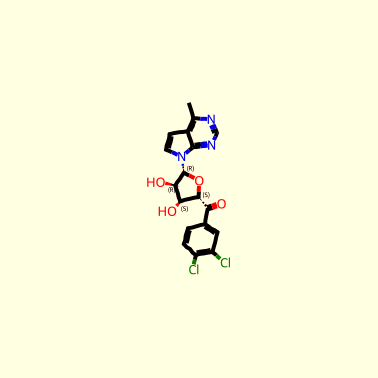 Cc1ncnc2c1ccn2[C@@H]1O[C@H](C(=O)c2ccc(Cl)c(Cl)c2)[C@@H](O)[C@H]1O